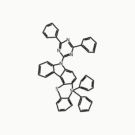 c1ccc(-c2nc(-c3ccccc3)nc(-n3c4ccccc4c4c5c(ccc43)[Si](c3ccccc3)(c3ccccc3)c3ccccc3S5)n2)cc1